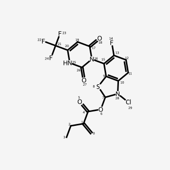 C=C(CC)C(=O)OC1Sc2c(ccc(F)c2-n2c(=O)cc(C(F)(F)F)[nH]c2=O)N1Cl